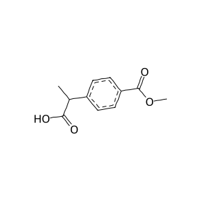 COC(=O)c1ccc(C(C)C(=O)O)cc1